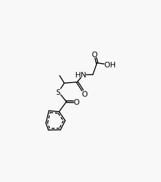 CC(SC(=O)c1ccccc1)C(=O)NCC(=O)O